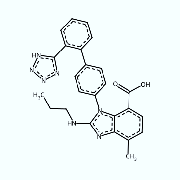 CCCNc1nc2c(C)ccc(C(=O)O)c2n1-c1ccc(-c2ccccc2-c2nnn[nH]2)cc1